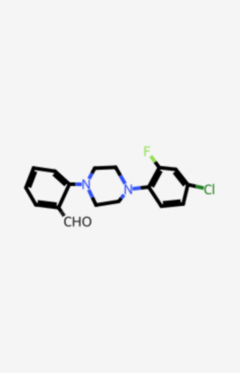 O=Cc1ccccc1N1CCN(c2ccc(Cl)cc2F)CC1